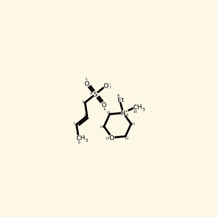 C/C=C/CS(=O)(=O)[O-].CC[N+]1(C)CCOCC1